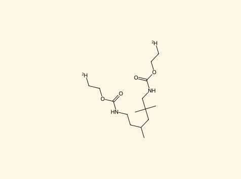 [2H]CCOC(=O)NCCC(C)CC(C)(C)CNC(=O)OCC[2H]